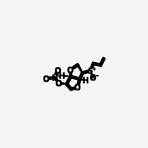 CCC[S@@+]([O-])[C@@H]1CO[C@H]2[C@@H]1OC[C@H]2O[N+](=O)[O-]